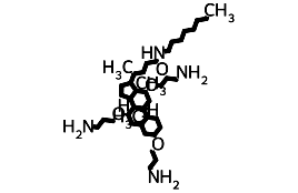 CCCCCCCCNC(=O)CCC(C)C1CC[C@H]2C3[C@H](OCCCN)CC4C[C@H](OCCCN)CC[C@]4(C)[C@H]3C[C@H](OCCCN)[C@]12C